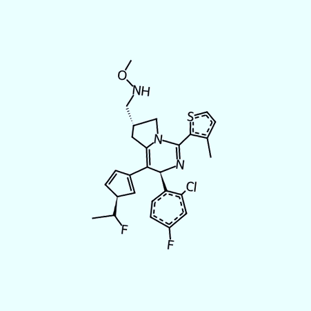 CONC[C@H]1CC2=C(C3=C[C@@H](C(C)F)C=C3)[C@H](c3ccc(F)cc3Cl)N=C(c3sccc3C)N2C1